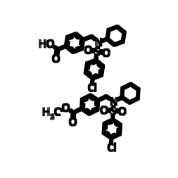 COC(=O)c1ccc(CN(C2CCCCC2)S(=O)(=O)c2ccc(Cl)cc2)cc1.O=C(O)c1ccc(CN(C2CCCCC2)S(=O)(=O)c2ccc(Cl)cc2)cc1